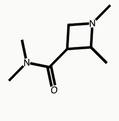 CC1C(C(=O)N(C)C)CN1C